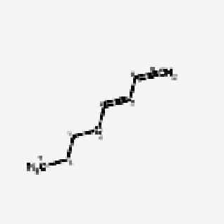 C=C/C=C/OCCC